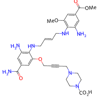 COC(=O)c1cc(N)c(NCC=CCNc2c(N)cc(C(N)=O)cc2OCC#CCN2CCN(C(=O)O)CC2)c(OC)c1